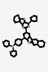 c1ccc(-c2nc(-c3cc(-c4ccc(N(c5ccccc5)c5ccccc5)cc4)c4oc5cc6ccccc6cc5c4c3)nc3c2sc2ccccc23)cc1